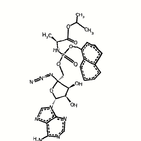 CC(C)OC(=O)[C@H](C)NP(=O)(OC[C@@]1(N=[N+]=[N-])O[C@@H](n2cnc3c(N)ncnc32)[C@H](O)[C@@H]1O)Oc1cccc2ccccc12